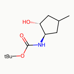 CC1C[C@@H](O)[C@H](NC(=O)OC(C)(C)C)C1